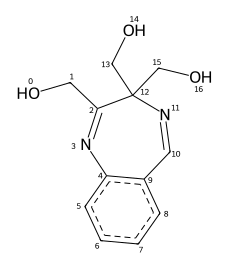 OCC1=Nc2ccccc2C=NC1(CO)CO